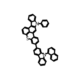 c1ccc(-n2c3ccccc3c3c4cccc5c4c(cc32)-c2ccc(-c3ccc4c6ccccc6n(-c6cccc7ccccc67)c4c3)cc2S5)cc1